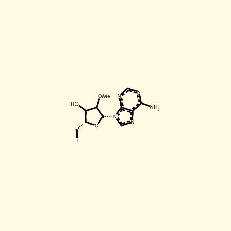 COC1C(O)[C@@H](CI)O[C@H]1n1cnc2c(N)ncnc21